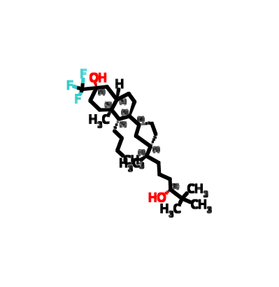 CCCC[C@H]1[C@H]([C@@H]2CC[C@H]([C@H](C)CCC[C@@H](O)C(C)(C)C)C2)CC[C@H]2C[C@](O)(C(F)(F)F)CC[C@@]21C